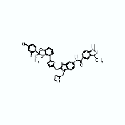 Cc1n[nH]c2ccc(C(=O)Nc3ccc4c(c3)nc(Cc3ccc(-c5cccc6c5OC(C)(c5ccc(Cl)cc5F)O6)s3)n4C[C@@H]3CCO3)cc12